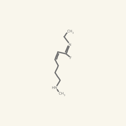 CC/N=C(F)\C=C/CCCNC